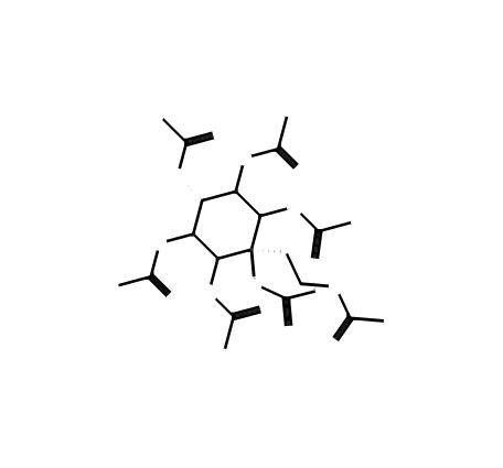 CC(=O)OCC[C@]1(OC(C)=O)C(OC(C)=O)C(OC(C)=O)[C@H](OC(C)=O)C(OC(C)=O)C1OC(C)=O